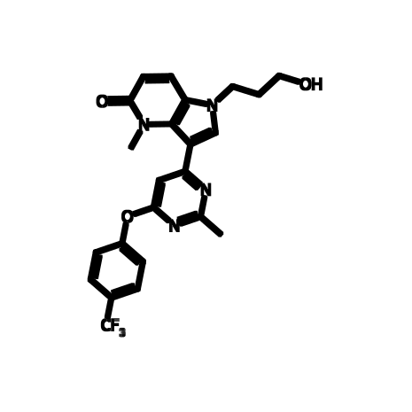 Cc1nc(Oc2ccc(C(F)(F)F)cc2)cc(-c2cn(CCCO)c3ccc(=O)n(C)c23)n1